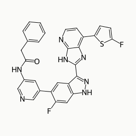 O=C(Cc1ccccc1)Nc1cncc(-c2cc3c(-c4nc5c(-c6ccc(F)s6)ccnc5[nH]4)n[nH]c3cc2F)c1